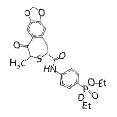 CCOP(=O)(OCC)c1ccc(NC(=O)C2Cc3cc4c(cc3C(=O)C(C)S2)OCO4)cc1